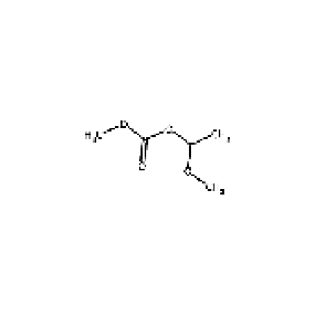 COC(=O)OC(C)OC